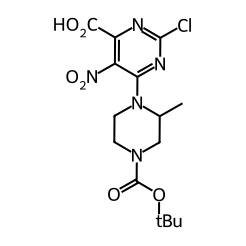 CC1CN(C(=O)OC(C)(C)C)CCN1c1nc(Cl)nc(C(=O)O)c1[N+](=O)[O-]